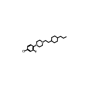 CCCC1CCC(CCN2CCN(c3ccc(Cl)cc3F)CC2)CC1